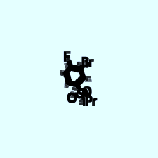 CC(C)S(=O)(=O)c1ccc(F)c(Br)c1